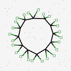 ClC1(Cl)C(Cl)(Cl)C(Cl)(Cl)C(Cl)(Cl)C(Cl)(Cl)C(Cl)(Cl)C(Cl)(Cl)C(Cl)(Cl)C(Cl)(Cl)C(Cl)(Cl)C(Cl)(Cl)C1(Cl)Cl